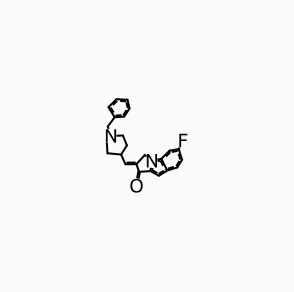 O=C1C(=CC2CCN(Cc3ccccc3)CC2)Cn2c1cc1ccc(F)cc12